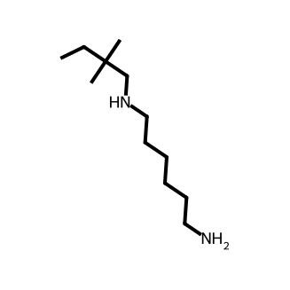 CCC(C)(C)CNCCCCCCN